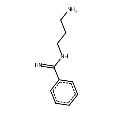 N=C(NCCCN)c1cc[c]cc1